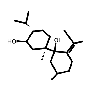 CC(C)=C1CCC(C)CC1(O)[C@]1(C)CC[C@@H](C(C)C)[C@H](O)C1